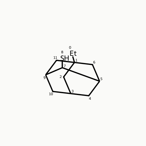 CCC12CC3CC(C1)C(S)C(C3)C2